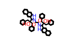 O=C(N[C@H](c1ccc2ccccc2c1)C(O)(Cc1ccccc1)Cc1ccccc1)C(=O)N[C@H](c1ccc2ccccc2c1)C(O)(Cc1ccccc1)Cc1ccccc1